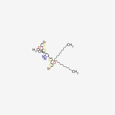 CCCCCCCCCCCCC1(CCCCCCCCCCCC)Oc2cc(Br)sc2-c2sc(-c3ccc(-c4cc5c(s4)-c4sc(Br)cc4OC5(C)C)c4nsnc34)cc21